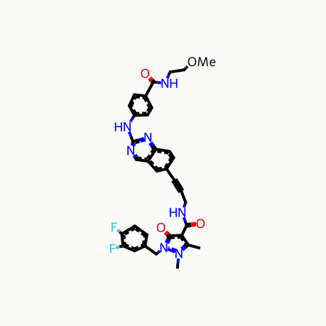 COCCNC(=O)c1ccc(Nc2ncc3cc(C#CCNC(=O)c4c(C)n(C)n(Cc5ccc(F)c(F)c5)c4=O)ccc3n2)cc1